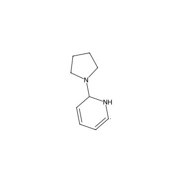 [C]1=CC=CC(N2CCCC2)N1